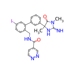 CN1C(=N)NC(C)(c2cccc(-c3cc(I)ccc3CNC(=O)c3ccnnc3)c2)C1=O